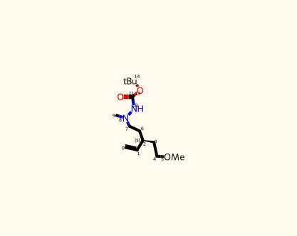 C=C[C@H](CCOC)CCN(C)NC(=O)OC(C)(C)C